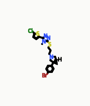 Cn1c(SCCCN2C[C@H]3CC3(c3ccc(Br)cc3)C2)nnc1-c1ccc(Cl)s1